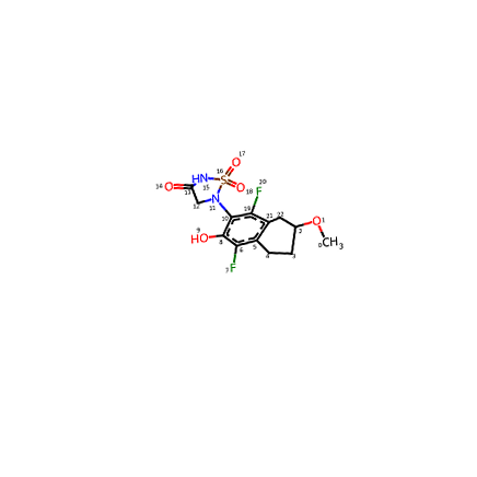 COC1CCc2c(F)c(O)c(N3CC(=O)NS3(=O)=O)c(F)c2C1